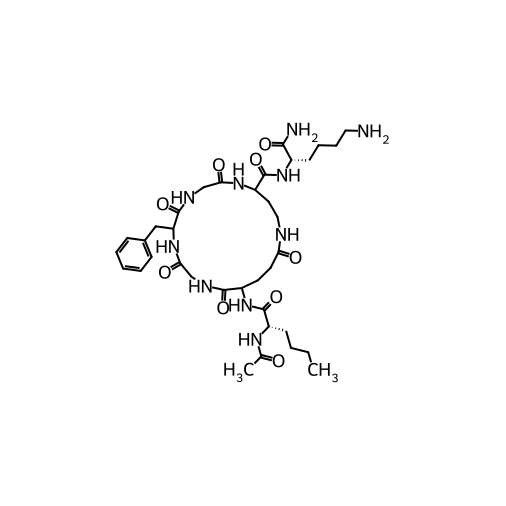 CCCC[C@H](NC(C)=O)C(=O)NC1CCC(=O)NCCC(C(=O)N[C@@H](CCCCN)C(N)=O)NC(=O)CNC(=O)C(Cc2ccccc2)NC(=O)CNC1=O